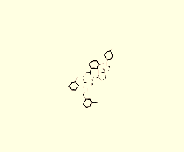 CS(=O)(=O)N(c1ccc(F)cc1)c1cccc(C(=O)N[C@@H](Cc2ccccc2)[C@@H](CNCc2cccc(C(F)(F)F)c2)OC=O)c1N1CCCC1=O